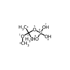 COC(C)(C)O[Si](O)(O)O